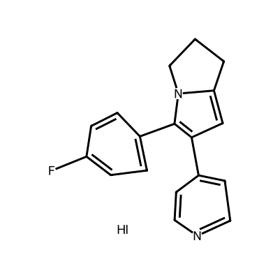 Fc1ccc(-c2c(-c3ccncc3)cc3n2CCC3)cc1.I